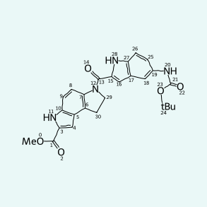 COC(=O)c1cc2c3c(ccc2[nH]1)N(C(=O)c1cc2cc(NC(=O)OC(C)(C)C)ccc2[nH]1)CC3